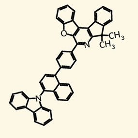 CC1(C)c2ccccc2-c2c1nc(-c1ccc(-c3ccc(-n4c5ccccc5c5ccccc54)c4ccccc34)cc1)c1oc3ccccc3c21